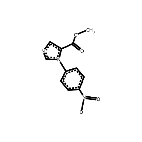 COC(=O)c1cncn1-c1ccc([N+](=O)[O-])cc1